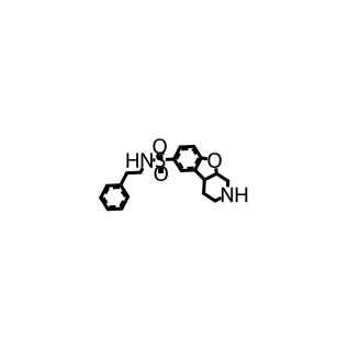 O=S(=O)(NCCc1ccccc1)c1ccc2c(c1)C1CCNCC1O2